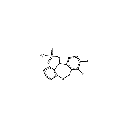 CS(=O)(=O)OC1c2ccccc2[Se]Cc2c1ccc(F)c2F